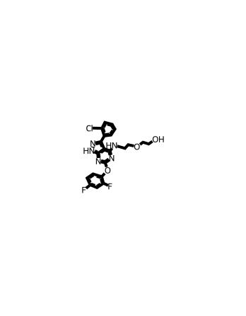 OCCOCCNc1nc(Oc2ccc(F)cc2F)nc2[nH]nc(-c3ccccc3Cl)c12